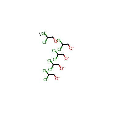 [O-]CC(Cl)Cl.[O-]CC(Cl)Cl.[O-]CC(Cl)Cl.[O-]CC(Cl)Cl.[O-]CC(Cl)Cl.[V+5]